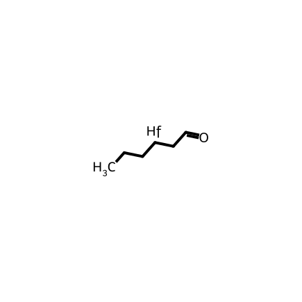 CCCCCC=O.[Hf]